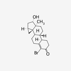 C[C@]12CC[C@H]3[C@@H](CCC4=C(Br)C(=O)CC[C@@H]43)[C@@]13C[C@H]3C[C@@H]2O